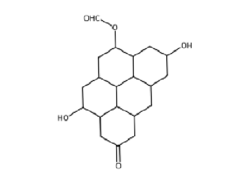 O=COC1CC2CC(O)C3CC(=O)CC4CC5CC(O)CC1C5C2C43